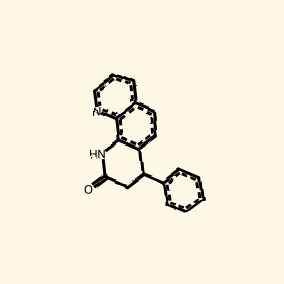 O=C1CC(c2ccccc2)c2ccc3cccnc3c2N1